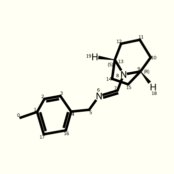 Cc1ccc(CN=CN2[C@@H]3CCC[C@H]2CC3)cc1